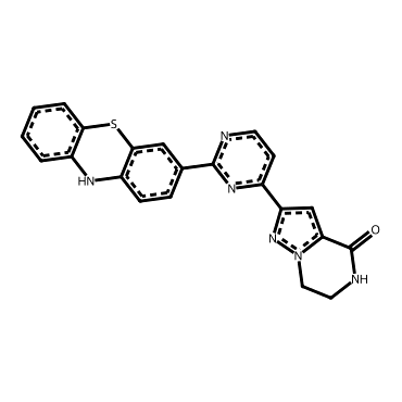 O=C1NCCn2nc(-c3ccnc(-c4ccc5c(c4)Sc4ccccc4N5)n3)cc21